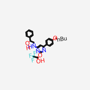 CCCCOc1ccc(-c2cc(NC[C@H](O)c3ccccc3)ncn2)cc1.O=C(O)C(F)(F)F